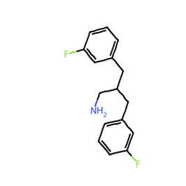 NCC(Cc1cccc(F)c1)Cc1cccc(F)c1